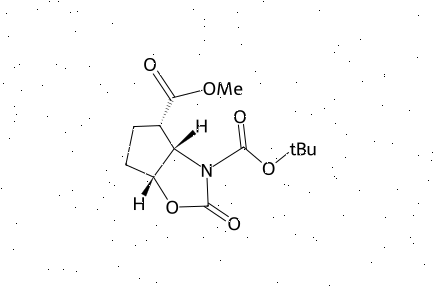 COC(=O)[C@H]1CC[C@H]2OC(=O)N(C(=O)OC(C)(C)C)[C@@H]12